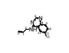 C=CCNc1ncnc2ccc(C)cc12